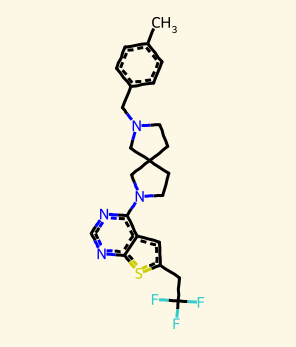 Cc1ccc(CN2CCC3(CCN(c4ncnc5sc(CC(F)(F)F)cc45)C3)C2)cc1